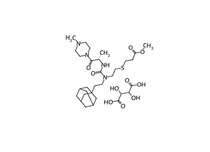 COC(=O)CCSCCN(CCC12CC3CC(CC(C3)C1)C2)C(=O)N[C@@H](C)C(=O)N1CCN(C)CC1.O=C(O)C(O)C(O)C(=O)O